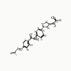 CCCOc1ccc(C(=O)Nc2ccc(N3CCC(N(C)C(C)=O)C3)cc2)cc1